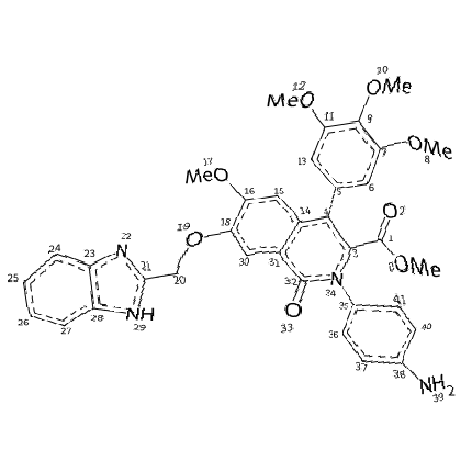 COC(=O)c1c(-c2cc(OC)c(OC)c(OC)c2)c2cc(OC)c(OCc3nc4ccccc4[nH]3)cc2c(=O)n1-c1ccc(N)cc1